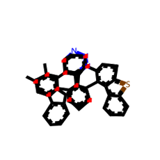 Cc1cc2c(c(-c3cnnnc3-c3c(-c4ccccc4)cccc3-c3c(-c4ccccc4-c4ccccc4)ccc4sc5ccccc5c34)c1C)Cc1ccccc1-2